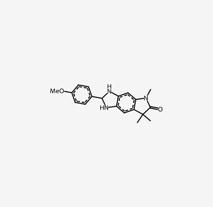 COc1ccc(C2Nc3cc4c(cc3N2)C(C)(C)C(=O)N4C)cc1